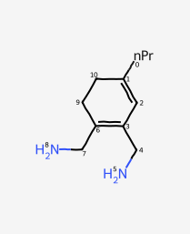 CCCC1=CC(CN)=C(CN)CC1